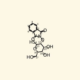 O=C1c2ccccc2C(=O)N1O[C@H]1C(S)O[C@H](CO)[C@@H](O)[C@@H]1O